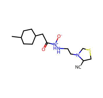 CC1CCC(CC(=O)[NH+]([O-])NCCN2CSCC2C#N)CC1